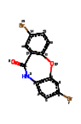 O=C1Nc2ccc(Br)cc2Oc2ccc(Br)cc21